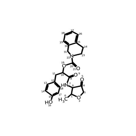 CC1OCC(=O)C1NC(=O)C(Cc1ccc(O)cc1)OC(=O)N1CCc2ccccc2C1